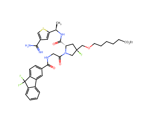 CCOC(=O)CCCCCOC[C@@]1(F)C[C@@H](C(=O)N[C@H](C)c2cc(C(=N)N)cs2)N(C(=O)CNC(=O)c2ccc3c(c2)-c2ccccc2C3(F)F)C1